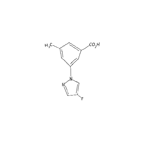 Cc1cc(C(=O)O)cc(-n2cc(F)cn2)c1